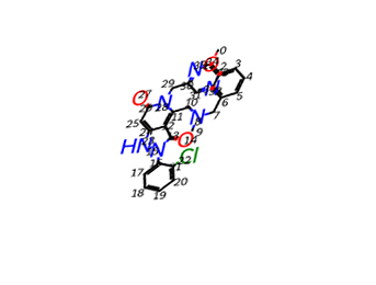 COc1cccc(CN(C)Cc2c3c(=O)n(-c4ccccc4Cl)[nH]c3cc(=O)n2Cc2cnccn2)c1